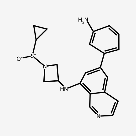 Nc1cccc(-c2cc(NC3CN([S+]([O-])C4CC4)C3)c3cnccc3c2)c1